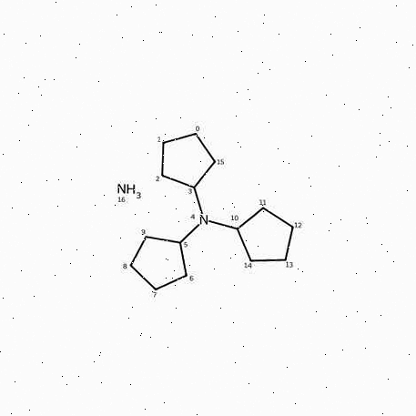 C1CCC(N(C2CCCC2)C2CCCC2)C1.N